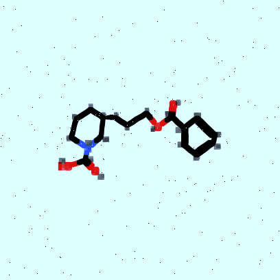 O=C(OCCC[C@H]1CCCN(C(=O)O)C1)c1ccccc1